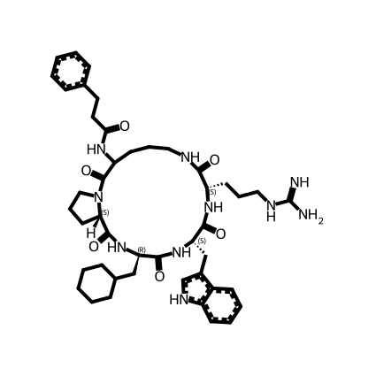 N=C(N)NCCC[C@@H]1NC(=O)[C@H](Cc2c[nH]c3ccccc23)NC(=O)[C@@H](CC2CCCCC2)NC(=O)[C@@H]2CCCN2C(=O)C(NC(=O)CCc2ccccc2)CCCNC1=O